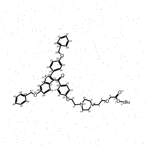 CC(C)(C)OC(=O)COCCN1CCN(CCOc2ccc(C(=O)c3c(-c4ccc(OCc5ccccc5)cc4)sc4cc(OCc5ccccc5)ccc34)cc2)CC1